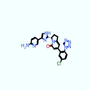 Nc1ccc(-c2c[nH]c([C@@H]3CCc4cc(-c5cc(Cl)ccc5-n5cnnn5)cc(=O)n43)n2)cn1